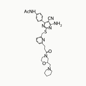 CC(=O)Nc1ccc(-c2nc(SCc3cccc(CCC(=O)N4CCOC(CN5CCCCC5)C4)n3)nc(N)c2C#N)cc1